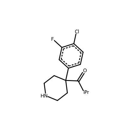 CC(C)C(=O)C1(c2ccc(Cl)c(F)c2)CCNCC1